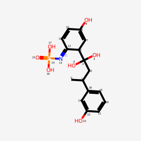 CC(CC(O)(O)C1C=C(O)C=C/C1=N\P(=O)(O)O)c1cccc(O)c1